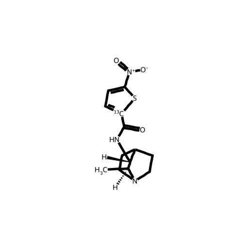 C[C@H]1[C@H](NC(=O)[13c]2ccc([N+](=O)[O-])s2)C2CCN1CC2